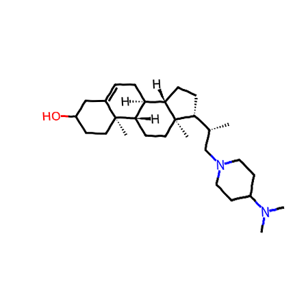 C[C@H](CN1CCC(N(C)C)CC1)[C@H]1CC[C@H]2[C@@H]3CC=C4CC(O)CC[C@]4(C)[C@H]3CC[C@]12C